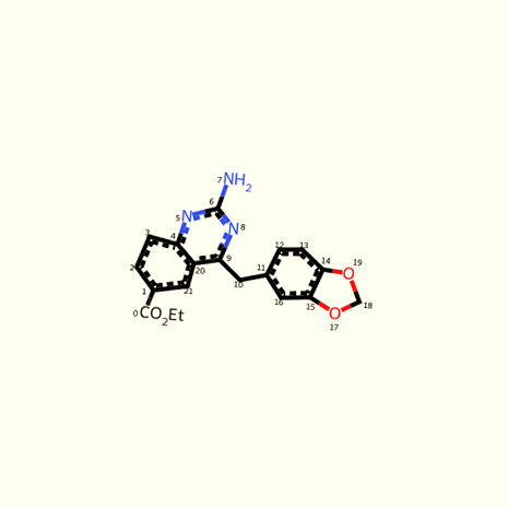 CCOC(=O)c1ccc2nc(N)nc(Cc3ccc4c(c3)OCO4)c2c1